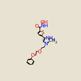 C=CN(/C=C(\N)c1ccc(C(=O)NO)s1)CCOCCOc1ccccc1